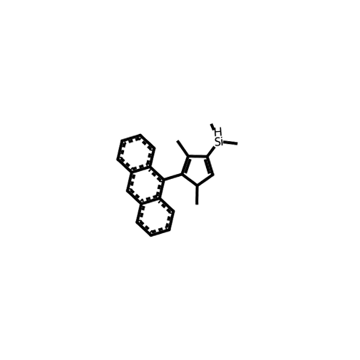 CC1=C(c2c3ccccc3cc3ccccc23)C(C)C=C1[SiH](C)C